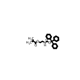 C=C(C)C(=O)OCCNC(=O)OC(c1ccccc1)(c1ccccc1)c1ccccc1